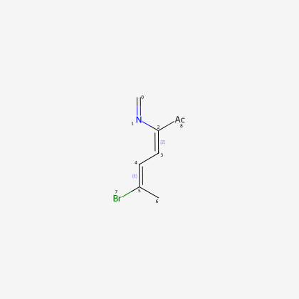 C=N/C(=C\C=C(/C)Br)C(C)=O